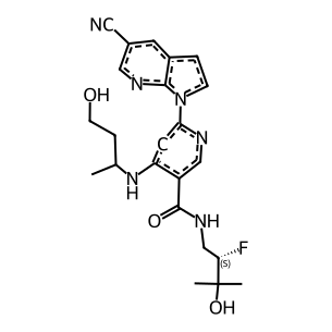 CC(CCO)Nc1cc(-n2ccc3cc(C#N)cnc32)ncc1C(=O)NC[C@H](F)C(C)(C)O